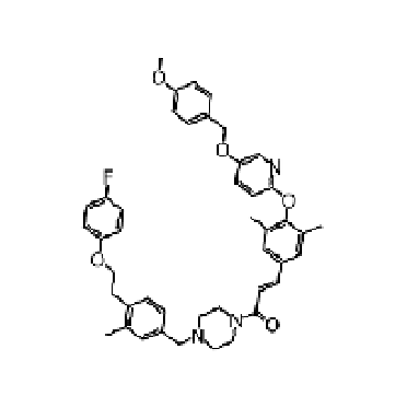 COc1ccc(COc2ccc(Oc3c(C)cc(C=CC(=O)N4CCN(Cc5ccc(CCOc6ccc(F)cc6)c(C)c5)CC4)cc3C)nc2)cc1